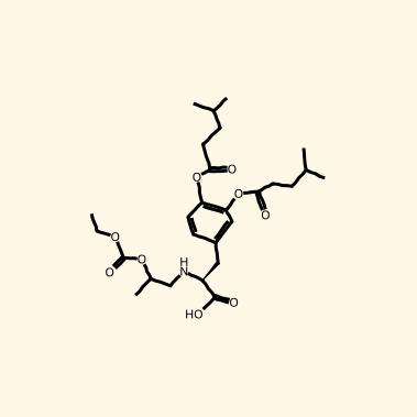 CCOC(=O)OC(C)CN[C@@H](Cc1ccc(OC(=O)CCC(C)C)c(OC(=O)CCC(C)C)c1)C(=O)O